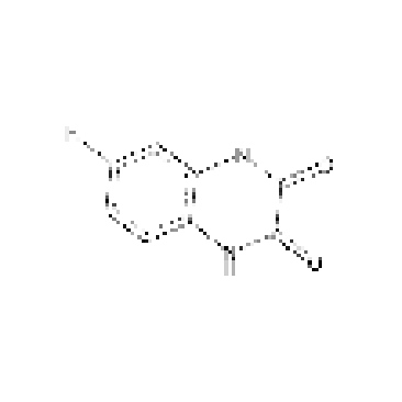 O=C1[N]c2cc(F)ccc2NC1=O